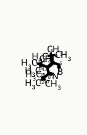 CC(C)(C)c1cbnc(C(C)(C)C)c1C(C)(C)C